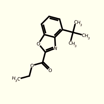 CCOC(=O)c1nc2c(C(C)(C)C)cccc2o1